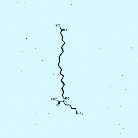 NCCCC[C@H](NCCCCCCCCCCCCCCCCCC(=O)O)C(=O)O